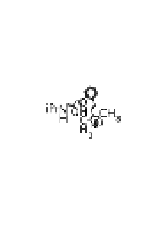 Cc1noc(C)c1C=Cc1ccccc1OCC(O)CNC(C)C